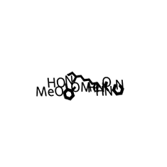 COc1cccc(OC)c1C(O)N1CCC(CCCCCNC(=O)Nc2cccnc2)C1